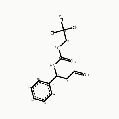 O=CCC(NC(=O)OCC(Cl)(Cl)Cl)c1ccccc1